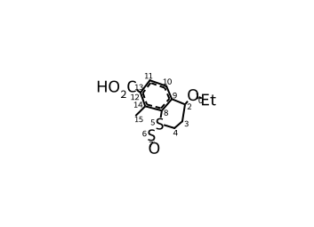 CCOC1CCS(=S=O)c2c1ccc(C(=O)O)c2C